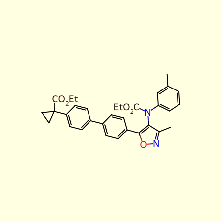 CCOC(=O)N(c1cccc(C)c1)c1c(C)noc1-c1ccc(-c2ccc(C3(C(=O)OCC)CC3)cc2)cc1